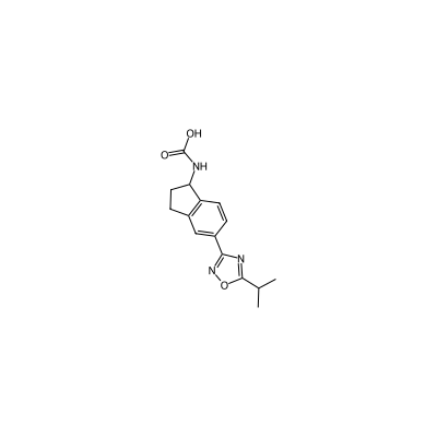 CC(C)c1nc(-c2ccc3c(c2)CCC3NC(=O)O)no1